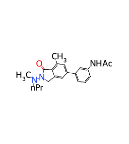 CCCN(C)N1Cc2cc(-c3cccc(NC(C)=O)c3)cc(C)c2C1=O